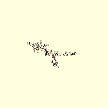 C#C[C@@]1(c2ccc3c(C)ncnn23)O[C@H](COP(=O)(O)OC[C@@H](COCCCCCCCCCCCCCCCCCC)OCc2ccc(C(F)(F)F)nc2)[C@@H](O)[C@H]1O